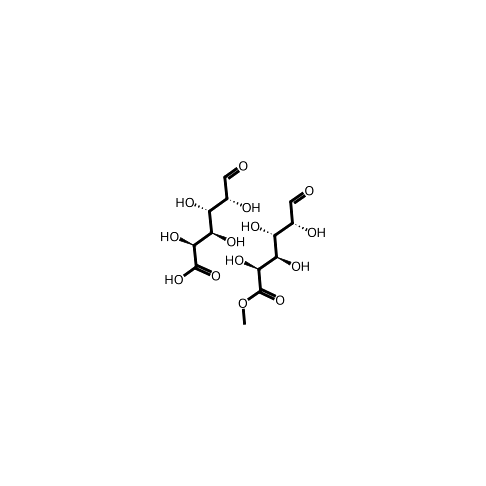 COC(=O)[C@@H](O)[C@H](O)[C@H](O)[C@@H](O)C=O.O=C[C@H](O)[C@@H](O)[C@@H](O)[C@H](O)C(=O)O